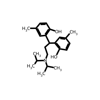 Cc1ccc(O)c(C(CCN(C(C)C)C(C)C)c2cc(C)ccc2O)c1